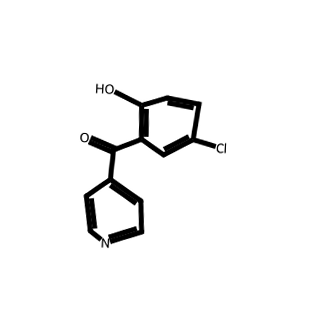 O=C(c1ccncc1)c1cc(Cl)ccc1O